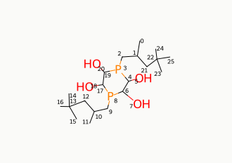 CC(CP1C(O)C(O)P(CC(C)CC(C)(C)C)C(O)C1O)CC(C)(C)C